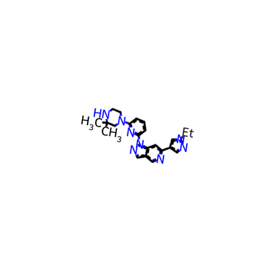 CCn1cc(-c2cc3c(cn2)cnn3-c2cccc(N3CCNC(C)(C)C3)n2)cn1